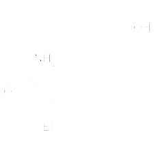 CCC(=CCCCO)C(N)=O